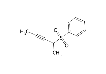 CC#CC(C)S(=O)(=O)c1ccccc1